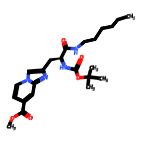 CCCCCCNC(=O)[C@H](Cc1cn2ccc(C(=O)OC)cc2n1)NC(=O)OC(C)(C)C